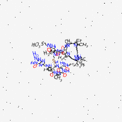 C=C(NCCSSC[C@H](NC(=O)[C@H](CC(=O)NCCS(=O)(=O)O)NC(=O)CC[C@@H](C)NC(=O)c1ccc(NCc2cnc3nc(N)[nH]c(=O)c3n2)cc1)C(=O)O)C(CC(=O)NCCS(=O)(=O)O)NC(=O)CC[C@@H]1c2nc(cc3[nH]c(cc4nc(cc5[nH]c6c(c5C)C(=O)C(C(=O)OC)c26)[C@H](CC)[C@H]4C)c(C(C)=O)c3C)[C@H]1C